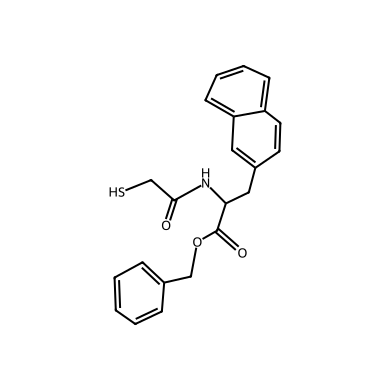 O=C(CS)NC(Cc1ccc2ccccc2c1)C(=O)OCc1ccccc1